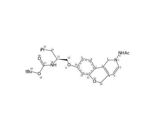 CC(=O)NN1C=CC2=C(C1)c1ccc(OC[C@H](CC(C)C)NC(=O)OC(C)(C)C)cc1OC2